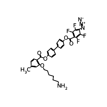 Cc1ccc(C(=O)Oc2ccc(-c3ccc(OC(=O)c4c(F)c(F)c(N=[N+]=[N-])c(F)c4F)cc3)cc2)c(OCCCCCCN)c1